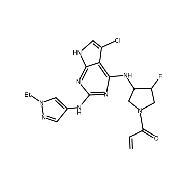 C=CC(=O)N1CC(F)C(Nc2nc(Nc3cnn(CC)c3)nc3[nH]cc(Cl)c23)C1